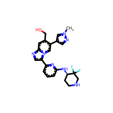 Cn1cc(-c2cn3c(-c4cccc(N[C@@H]5CCNCC5(F)F)n4)cnc3cc2CO)cn1